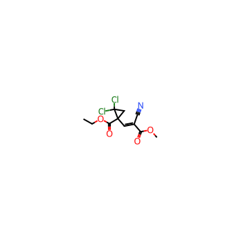 CCOC(=O)C1(C=C(C#N)C(=O)OC)CC1(Cl)Cl